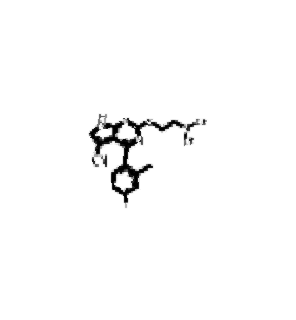 CCN(CC)CCSc1nc(-c2ccc(F)cc2C)c2c(C#N)c[nH]c2n1